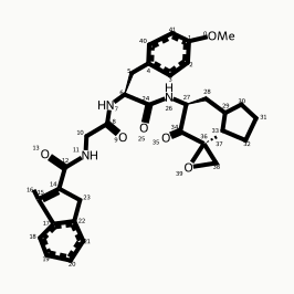 COc1ccc(C[C@H](NC(=O)CNC(=O)C2=C(C)c3ccccc3C2)C(=O)N[C@@H](CC2CCCC2)C(=O)[C@@]2(C)CO2)cc1